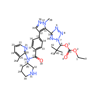 CCOC(=O)OC(n1nnc(-c2c(-c3ccc(C(=O)N(c4ncccc4C)[C@@H]4CCCNC4)cc3)cnn2C)n1)C(C)(C)C